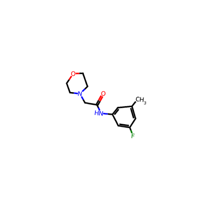 Cc1cc(F)cc(NC(=O)CN2CCOCC2)c1